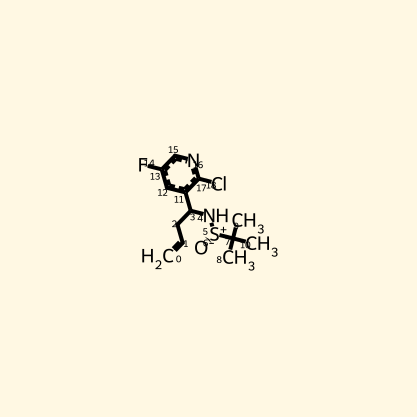 C=CCC(N[S@+]([O-])C(C)(C)C)c1cc(F)cnc1Cl